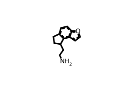 NCCC1CCc2ccc3occc3c21